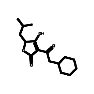 CC(C)CC1OC(=O)C(C(=O)CC2CCCCC2)=C1O